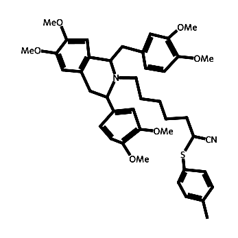 COc1ccc(CC2c3cc(OC)c(OC)cc3CC(c3ccc(OC)c(OC)c3)N2CCCCCC(C#N)Sc2ccc(C)cc2)cc1OC